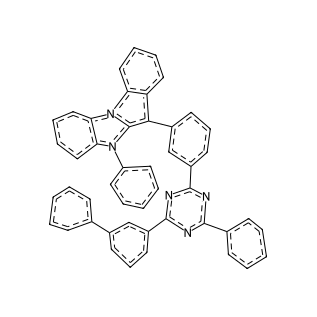 c1ccc(-c2cccc(-c3nc(-c4ccccc4)nc(-c4cccc(-c5c6ccccc6n6c7ccccc7n(-c7ccccc7)c56)c4)n3)c2)cc1